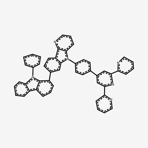 c1ccc(-n2c3ccccc3c3cccc(-c4ccc5c6ncccc6n(-c6ccc(-c7cc(-c8ccccn8)nc(-c8ccccn8)c7)cc6)c5c4)c32)cc1